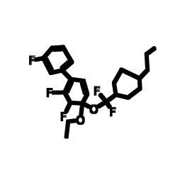 CCCC1CCC(C(F)(F)OC2(OCC)C=CC(c3cccc(F)c3)=C(F)C2F)CC1